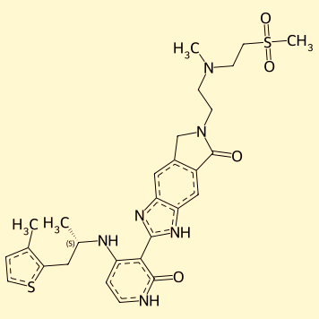 Cc1ccsc1C[C@H](C)Nc1cc[nH]c(=O)c1-c1nc2cc3c(cc2[nH]1)C(=O)N(CCN(C)CCS(C)(=O)=O)C3